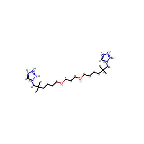 CC(C)(CCCCOCCCOCCCCC(C)(C)Cn1cnnn1)Cn1cnnn1